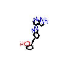 OC1(C#Cc2ccc3cn(-c4ccnc5[nH]ccc45)nc3c2)CCCCC1